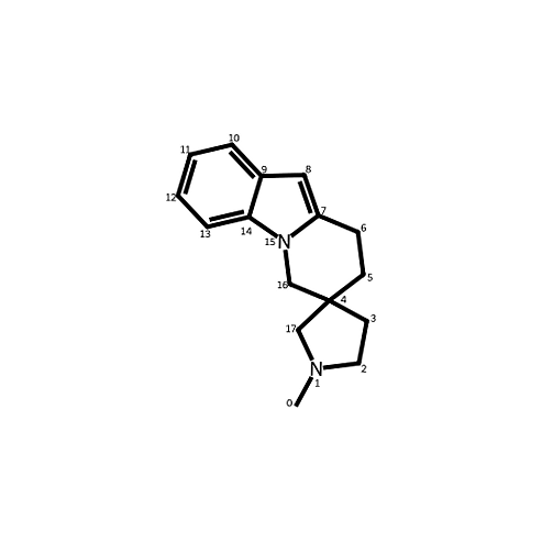 CN1CCC2(CCc3cc4ccccc4n3C2)C1